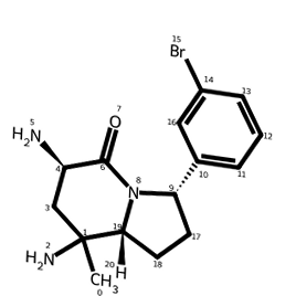 CC1(N)C[C@@H](N)C(=O)N2[C@H](c3cccc(Br)c3)CC[C@@H]21